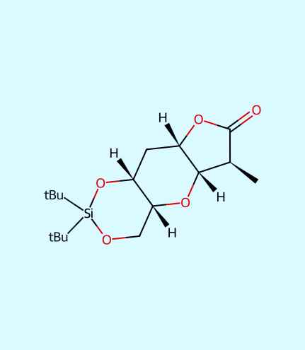 C[C@@H]1C(=O)O[C@H]2C[C@H]3O[Si](C(C)(C)C)(C(C)(C)C)OC[C@H]3O[C@H]21